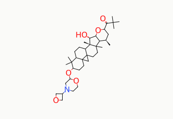 C[C@@H]1CC(C(=O)C(C)(C)C)OC2C1C1(C)CCC34CC35CCC(OC3CN(C6COC6)CCO3)C(C)(C)C5CCC4[C@]1(C)[C@H]2O